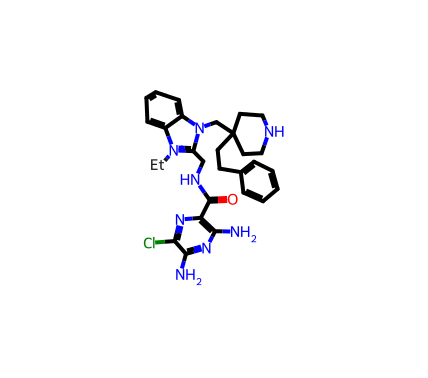 CC[n+]1c(CNC(=O)c2nc(Cl)c(N)nc2N)n(CC2(CCc3ccccc3)CCNCC2)c2ccccc21